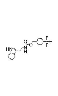 O=C(NCCc1c[nH]c2ccccc12)OCc1ccc(C(F)(F)F)cc1